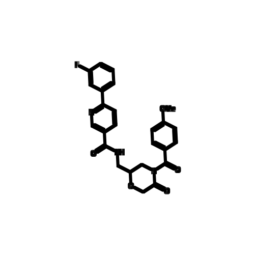 COc1ccc(C(=O)N2CC(CNC(=O)c3ccc(-c4cccc(F)c4)nc3)OCC2=O)cc1